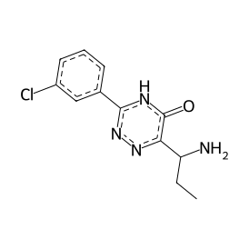 CCC(N)c1nnc(-c2cccc(Cl)c2)[nH]c1=O